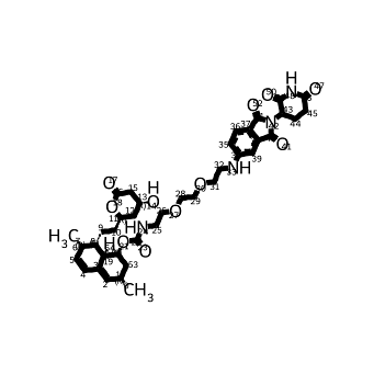 C[C@H]1C=C2C=C[C@H](C)[C@H](CC[C@@H]3C[C@@H](O)CC(=O)O3)[C@H]2[C@@H](OC(=O)NCCOCCOCCNc2ccc3c(c2)C(=O)N(C2CCC(=O)NC2=O)C3=O)C1